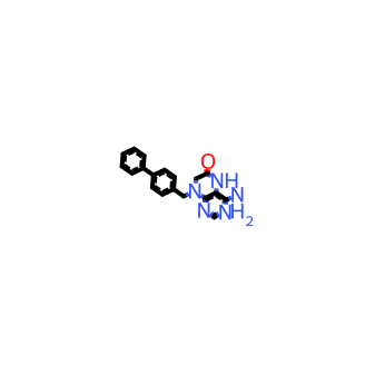 Nc1ncnc2c1NC(=O)CN2Cc1ccc(-c2ccccc2)cc1